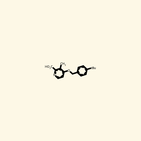 Cc1c(OCc2ccc(C(C)(C)C)cc2)ccnc1C(=O)O